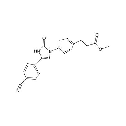 COC(=O)CCc1ccc(-n2cc(-c3ccc(C#N)cc3)[nH]c2=O)cc1